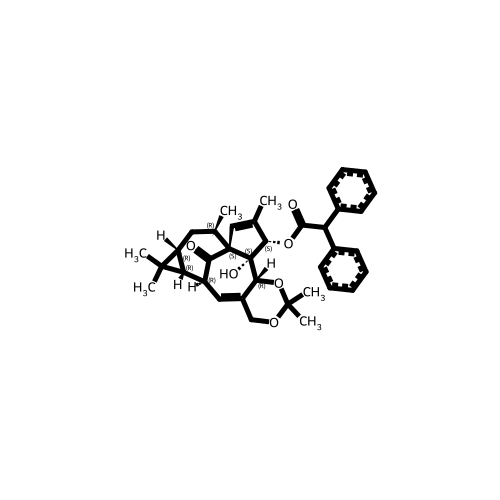 CC1=C[C@]23C(=O)[C@@H](C=C4COC(C)(C)O[C@H]4[C@]2(O)[C@H]1OC(=O)C(c1ccccc1)c1ccccc1)[C@H]1[C@@H](C[C@H]3C)C1(C)C